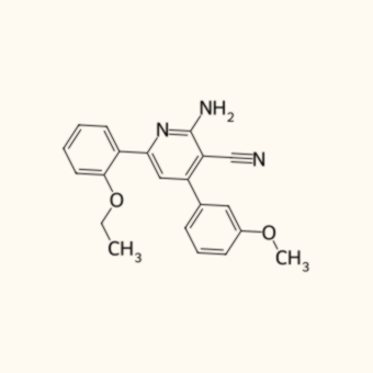 CCOc1ccccc1-c1cc(-c2cccc(OC)c2)c(C#N)c(N)n1